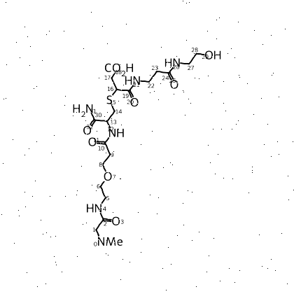 CNCC(=O)NCCOCCC(=O)NC(CSC(CC(=O)O)C(=O)NCCC(=O)NCCO)C(N)=O